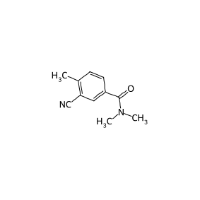 Cc1ccc(C(=O)N(C)C)cc1C#N